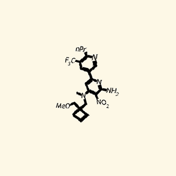 CCCc1ncc(-c2cc(N(C)CC3(COC)CCC3)c([N+](=O)[O-])c(N)n2)cc1C(F)(F)F